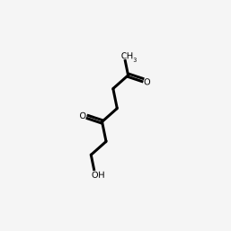 CC(=O)CCC(=O)CCO